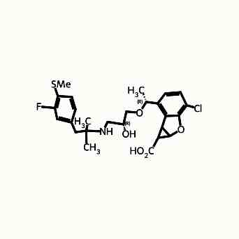 CSc1ccc(CC(C)(C)NC[C@@H](O)CO[C@H](C)c2ccc(Cl)c3c2C2C(O3)C2C(=O)O)cc1F